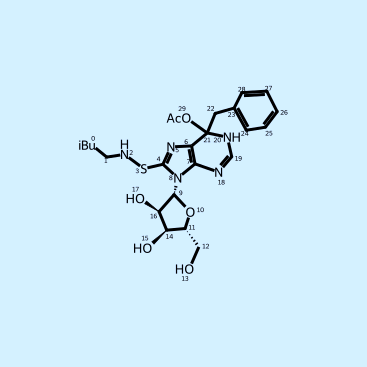 CCC(C)CNSc1nc2c(n1[C@@H]1O[C@H](CO)[C@@H](O)[C@H]1O)N=CNC2(Cc1ccccc1)OC(C)=O